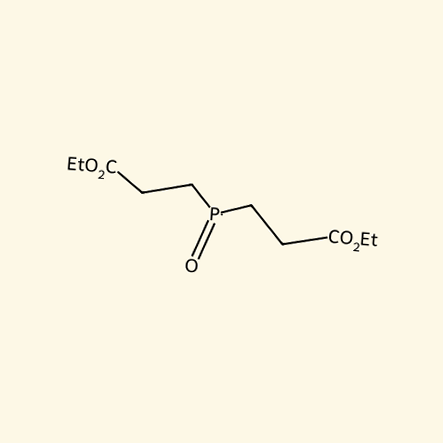 CCOC(=O)CC[P](=O)CCC(=O)OCC